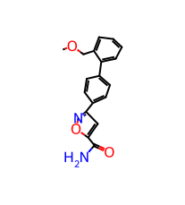 COCc1ccccc1-c1ccc(-c2cc(C(N)=O)on2)cc1